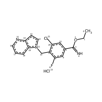 CCOC(=N)c1cc(F)c(Cn2ccc3ncccc32)c(Cl)c1.Cl